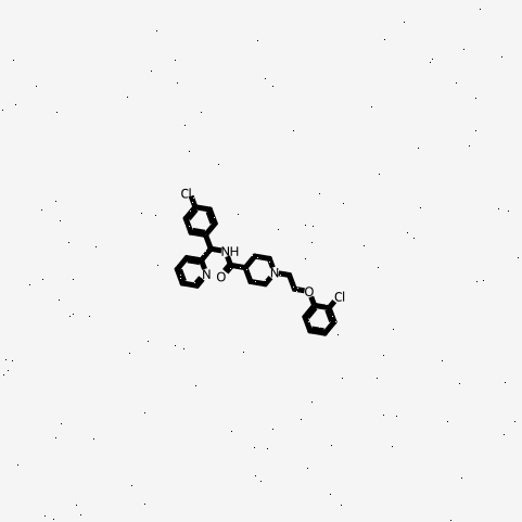 O=C(NC(c1ccc(Cl)cc1)c1ccccn1)C1CCN(CCOc2ccccc2Cl)CC1